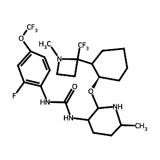 CC1CCC(NC(=O)Nc2ccc(OC(F)(F)F)cc2F)C(O[C@@H]2CCCCC2C2(C(F)(F)F)CCN2C)N1